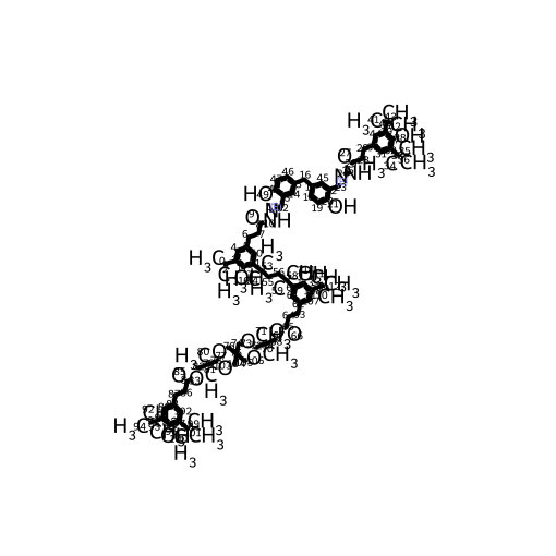 CC(C)c1cc(CCC(=O)N/N=C/c2cc(Cc3ccc(O)c(/C=N/NC(=O)CCc4cc(C(C)(C)C)c(O)c(C(C)(C)C)c4)c3)ccc2O)cc(C(C)(C)CCC(C)(C)c2cc(CCC(=O)OCC(C)(C)C3OCC4(COC(C(C)(C)COC(=O)CCc5cc(C(C)(C)C)c(O)c(C(C)(C)C)c5)OC4)CO3)cc(C(C)(C)C)c2O)c1O